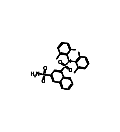 Cc1cccc(C)c1N(c1c(C)cccc1C)S(=O)(=O)c1cc(S(N)(=O)=O)cc2ccccc12